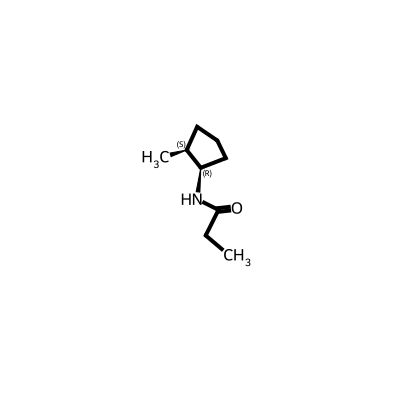 CCC(=O)N[C@@H]1CCC[C@@H]1C